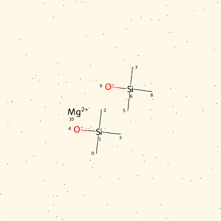 C[Si](C)(C)[O-].C[Si](C)(C)[O-].[Mg+2]